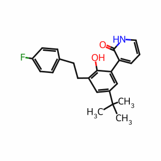 CC(C)(C)c1cc(CCc2ccc(F)cc2)c(O)c(-c2ccc[nH]c2=O)c1